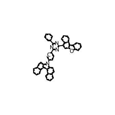 c1ccc(-c2nc(-c3ccc(-n4c5ccc6ccccc6c5c5c6ccccc6ccc54)cc3)nc(-c3cc4oc5ccccc5c4c4ccccc34)n2)cc1